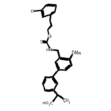 COc1ccc(-c2cccc(C(C)C(=O)O)c2)cc1CNC(=O)OCCc1cccc(Cl)c1